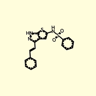 O=S(=O)(Nc1cc2c(C=Cc3ccccc3)n[nH]c2s1)c1ccccc1